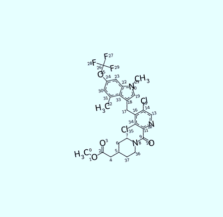 COC(=O)CC1CCN(C(=O)c2ncc(Cl)c(Cc3cn(C)c4cc(OC(F)(F)F)cc(C)c34)c2Cl)CC1